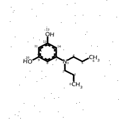 CCCN(CCC)c1cc(O)[c]c(O)c1